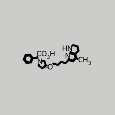 Cc1cc(CCCCO[C@@H]2CCN(C(C(=O)O)c3ccccc3)C2)nc2c1CCCN2